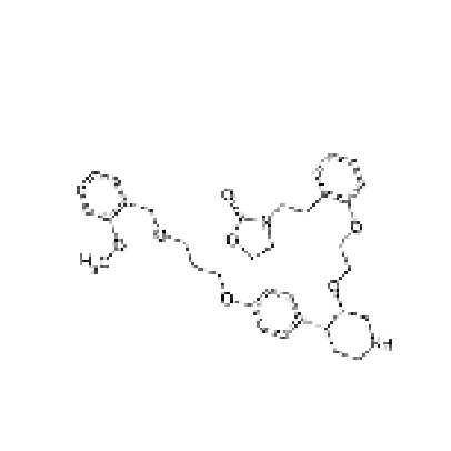 COc1ccccc1COCCCOc1ccc([C@H]2CCNC[C@@H]2OCCOc2ccccc2CCN2CCOC2=O)cc1